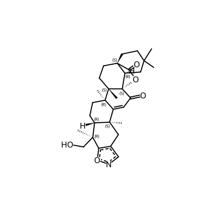 CC1(C)CC[C@@]23CC[C@@]4(C)[C@]5(C)CC[C@@H]6[C@](C)(Cc7cnoc7[C@@]6(C)CO)C5=CC(=O)[C@]4(OC2=O)[C@@H]3C1